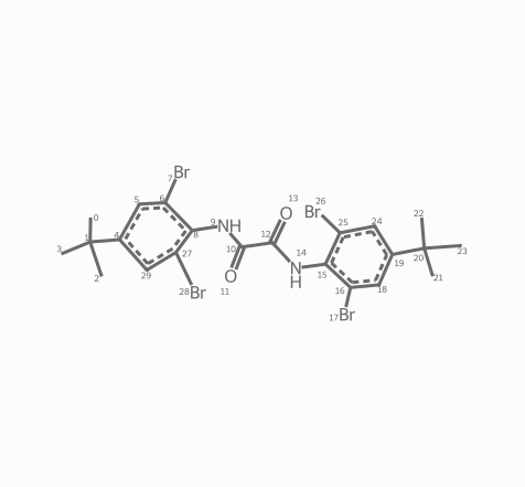 CC(C)(C)c1cc(Br)c(NC(=O)C(=O)Nc2c(Br)cc(C(C)(C)C)cc2Br)c(Br)c1